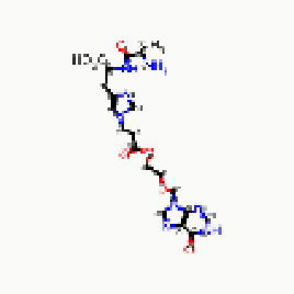 CC(N)C(=O)NC(Cc1cn(CCC(=O)OCCOCn2cnc3c(=O)[nH]cnc32)cn1)C(=O)O